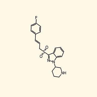 O=S(=O)(CC=Cc1ccc(F)cc1)c1nn(C2CCCNC2)c2ccccc12